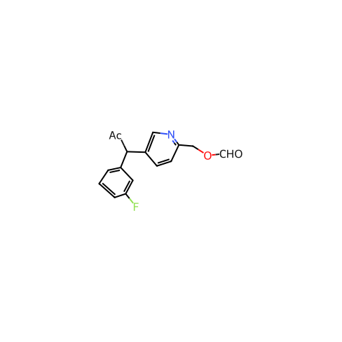 CC(=O)C(c1ccc(COC=O)nc1)c1cccc(F)c1